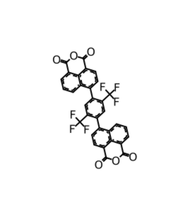 O=C1OC(=O)c2ccc(-c3cc(C(F)(F)F)c(-c4ccc5c6c(cccc46)C(=O)OC5=O)cc3C(F)(F)F)c3cccc1c23